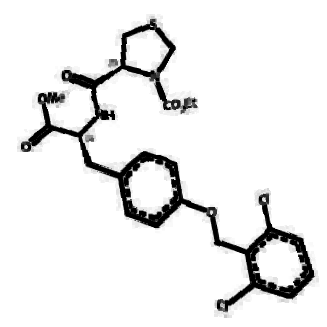 CCOC(=O)N1CSC[C@@H]1C(=O)N[C@@H](Cc1ccc(OCc2c(Cl)cccc2Cl)cc1)C(=O)OC